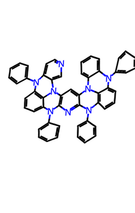 c1ccc(-n2c3ccccc3n3c4cc5c(nc4n(-c4ccccc4)c4cccc2c43)n(-c2ccccc2)c2cccc3c2n5c2cnccc2n3-c2ccccc2)cc1